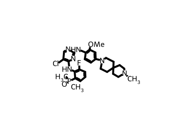 COc1cc(N2CCC3(CCN(C)CC3)CC2)ccc1Nc1ncc(Cl)c(Nc2c(F)cccc2P(C)(C)=O)n1